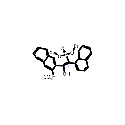 CCOP(=O)(OCC)/C(=C(/O)c1cc2ccccc2cc1C(=O)O)c1cccc2ccccc12